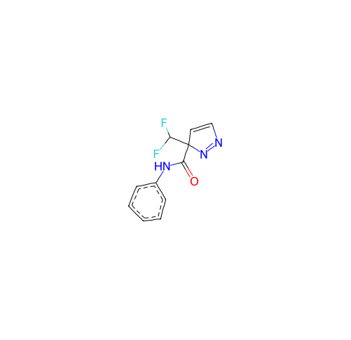 O=C(Nc1ccccc1)C1(C(F)F)C=CN=N1